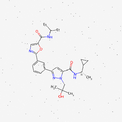 CCC(CC)NC(=O)c1cnc(-c2cccc(-c3cc(C(=O)N[C@@H](C)C4CC4)n(CC(C)(C)O)n3)c2)o1